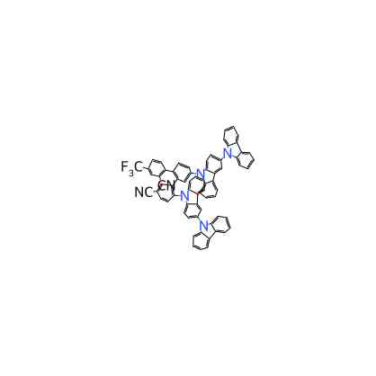 N#Cc1ccc(-n2c3ccccc3c3cc(-n4c5ccccc5c5ccccc54)ccc32)c(-c2cc(-n3c4ccccc4c4cc(-n5c6ccccc6c6ccccc65)ccc43)ccc2-c2ccc(C(F)(F)F)cc2C#N)c1